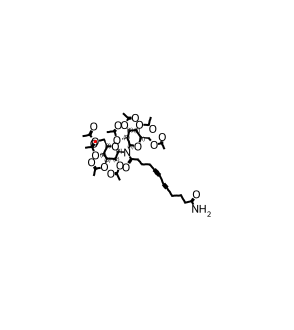 CC(=O)OC[C@H]1O[C@@H](N(C(=O)CCCC#CC#CCCCC(N)=O)[C@@H]2O[C@H](COC(C)=O)[C@@H](OC(C)=O)[C@H](OC(C)=O)[C@H]2OC(C)=O)[C@H](OC(C)=O)[C@@H](OC(C)=O)[C@@H]1OC(C)=O